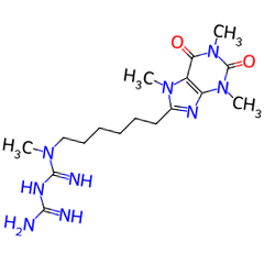 CN(CCCCCCc1nc2c(c(=O)n(C)c(=O)n2C)n1C)C(=N)NC(=N)N